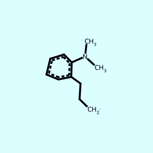 [CH2]CCc1ccccc1N(C)C